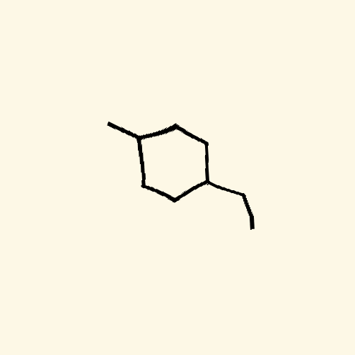 CC[C]1CCC(C)CC1